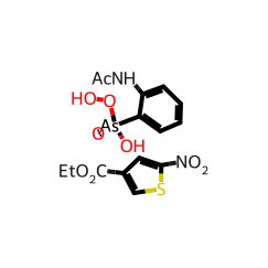 CC(=O)Nc1ccccc1[As](=O)(O)OO.CCOC(=O)c1csc([N+](=O)[O-])c1